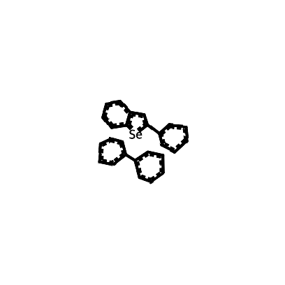 c1ccc(-c2cc3ccccc3[se]2)cc1.c1ccc(-c2ccccc2)cc1